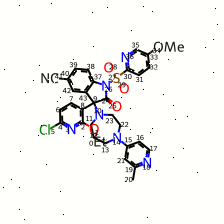 CCOc1nc(Cl)ccc1C1(N2CCCN(c3ccnc(C)c3)CC2)C(=O)N(S(=O)(=O)c2ccc(OC)cn2)c2ccc(C#N)cc21